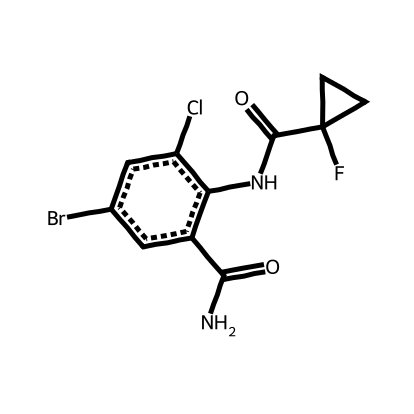 NC(=O)c1cc(Br)cc(Cl)c1NC(=O)C1(F)CC1